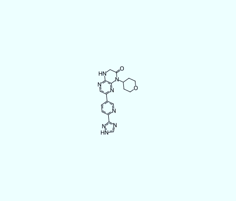 O=C1CNc2ncc(-c3ccc(-c4nc[nH]n4)nc3)nc2N1C1CCOCC1